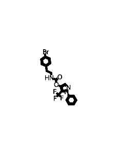 O=C(NCCc1ccc(Br)cc1)Oc1cnn(-c2ccccc2)c1C(F)(F)F